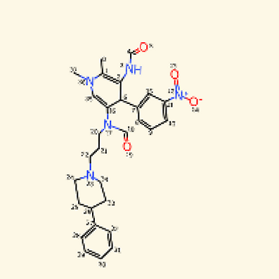 CC1=C(NC=O)C(c2cccc([N+](=O)[O-])c2)C(N(C=O)CCCN2CCC(c3ccccc3)CC2)=CN1C